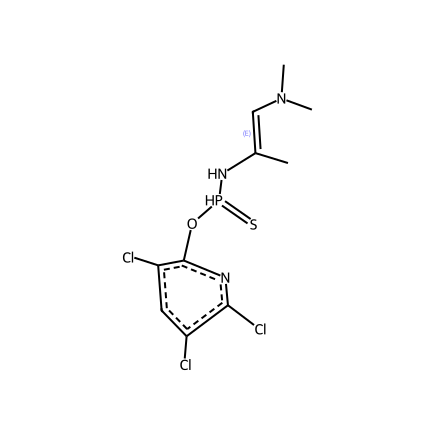 C/C(=C\N(C)C)N[PH](=S)Oc1nc(Cl)c(Cl)cc1Cl